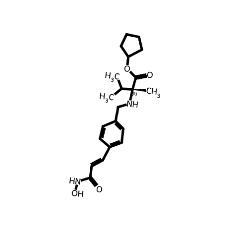 CC(C)[C@@](C)(NCc1ccc(C=CC(=O)NO)cc1)C(=O)OC1CCCC1